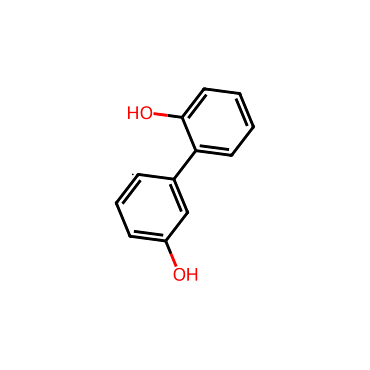 Oc1cc[c]c(-c2ccccc2O)c1